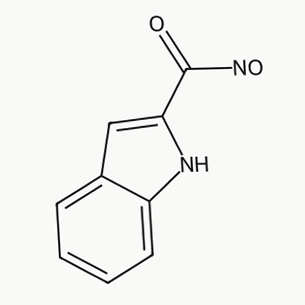 O=NC(=O)c1cc2ccccc2[nH]1